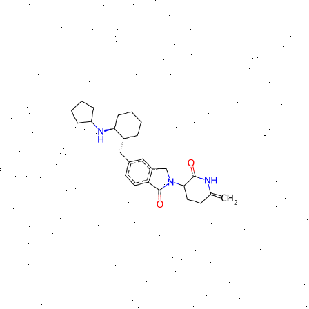 C=C1CCC(N2Cc3cc(C[C@H]4CCCC[C@@H]4NC4CCCC4)ccc3C2=O)C(=O)N1